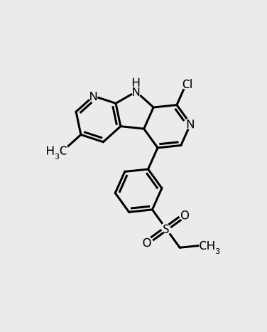 CCS(=O)(=O)c1cccc(C2=CN=C(Cl)C3Nc4ncc(C)cc4C23)c1